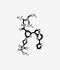 CCN(CC)C(C)CNC(=O)c1cc(-c2cnn3ccc(-c4cccs4)nc23)nc(N2CC(S(=O)(=O)NC)C2)c1